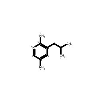 CC(C)Cc1cc(N)cnc1N